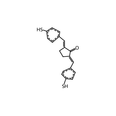 O=C1C(=Cc2ccc(S)cc2)CCC1=Cc1ccc(S)cc1